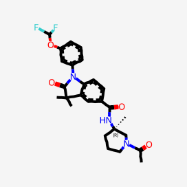 CC(=O)N1CCC[C@@](C)(NC(=O)c2ccc3c(c2)C(C)(C)C(=O)N3c2cccc(OC(F)F)c2)C1